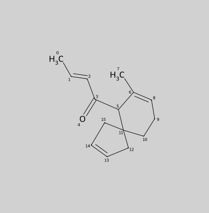 CC=CC(=O)C1C(C)=CCCC12CC=CC2